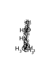 CC(C)(C)OC(=O)N1CCC(NCC2CCC(NC(=O)OCc3ccccc3)CC2)CC1